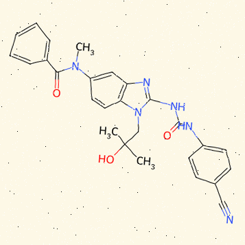 CN(C(=O)c1ccccc1)c1ccc2c(c1)nc(NC(=O)Nc1ccc(C#N)cc1)n2CC(C)(C)O